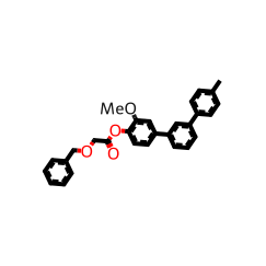 COc1cc(-c2cccc(-c3ccc(C)cc3)c2)ccc1OC(=O)COCc1ccccc1